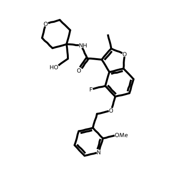 COc1ncccc1COc1ccc2oc(C)c(C(=O)NC3(CO)CCOCC3)c2c1F